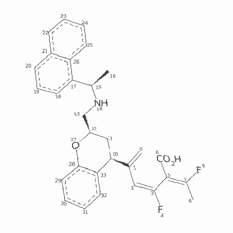 C=C(/C=C(F)\C(C(=O)O)=C(/C)F)[C@@H]1C[C@H](CN[C@H](C)c2cccc3ccccc23)Oc2ccccc21